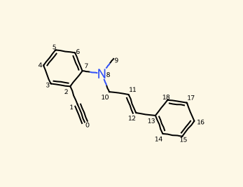 C#Cc1ccccc1N(C)CC=Cc1ccccc1